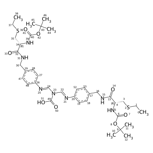 CCSC[C@H](NC(=O)OC(C)(C)C)C(=O)NCc1ccc(N=CN(C=Nc2ccc(CNC(=O)[C@H](CSCC)NC(=O)OC(C)(C)C)cc2)C(=O)O)cc1